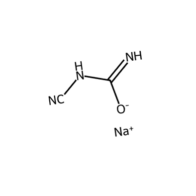 N#CNC(=N)[O-].[Na+]